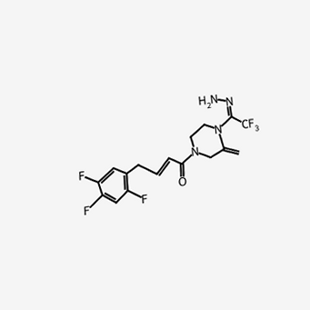 C=C1CN(C(=O)/C=C/Cc2cc(F)c(F)cc2F)CCN1/C(=N\N)C(F)(F)F